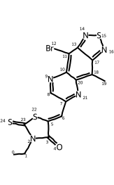 CCN1C(=O)/C(=C/c2cnc3c(Br)c4nsnc4c(C)c3n2)SC1=S